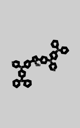 CC(C)(C)n1c(-c2ccc(N(c3ccncc3)c3ccc(N(c4ccccc4)c4ccccc4)cc3)cc2)ccc1-c1ccc(N(c2ccncc2)c2ccc(N(c3ccccc3)c3ccccc3)cc2)cc1